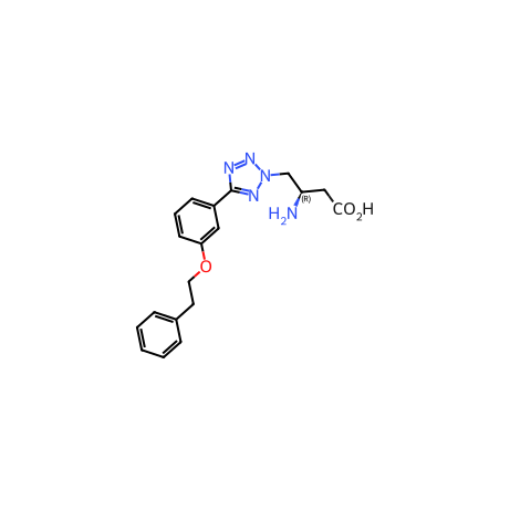 N[C@H](CC(=O)O)Cn1nnc(-c2cccc(OCCc3ccccc3)c2)n1